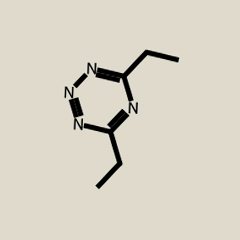 CCc1nnnc(CC)n1